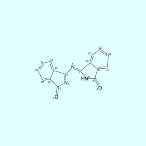 O=C1N=C(/N=C2\NC(=O)c3ccccc32)c2ccccc21